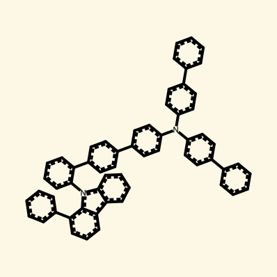 c1ccc(-c2ccc(N(c3ccc(-c4ccccc4)cc3)c3ccc(-c4ccc(-c5ccccc5-n5c6ccccc6c6cccc(-c7ccccc7)c65)cc4)cc3)cc2)cc1